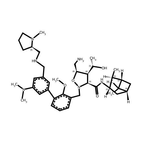 COc1c(CN2O[C@@H](CN)[C@@H]([C@H](C)O)[C@H]2C(=O)N[C@H]2C[C@H]3C[C@@H]([C@@H]2C)C3(C)C)cccc1-c1cc(CNC[C@H]2CCCN2C)cc(N(C)C)c1